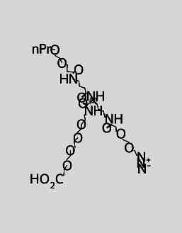 CCCOCCOCCC(=O)NCCCC(=O)N[C@@H](CCCCNC(=O)CCOCCOCCN=[N+]=[N-])C(=O)NCCOCCOCCOCCOCCC(=O)O